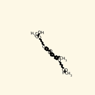 C=C(F)C(=O)OCCCCCCOc1ccc(-c2ccc(OC(=O)c3ccc(OCCCCCCOC(=O)C(C)CO)cc3)cc2)cc1CC